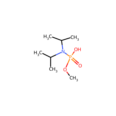 COP(=O)(O)N(C(C)C)C(C)C